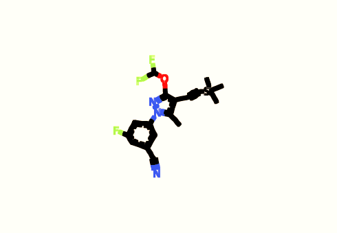 Cc1c(C#C[Si](C)(C)C)c(OC(F)F)nn1-c1cc(F)cc(C#N)c1